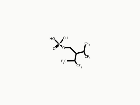 O=P(O)(O)OCC(C(C(F)(F)F)C(F)(F)F)C(C(F)(F)F)C(F)(F)F